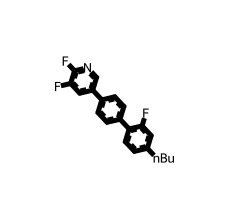 CCCCc1ccc(-c2ccc(-c3cnc(F)c(F)c3)cc2)c(F)c1